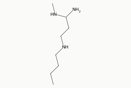 CCCCNCCC(N)NC